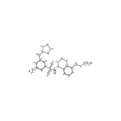 O=C(O)COc1cccc2c1CCC[C@H]2NS(=O)(=O)c1cc(OC2CCCC2)cc(C(F)(F)F)c1